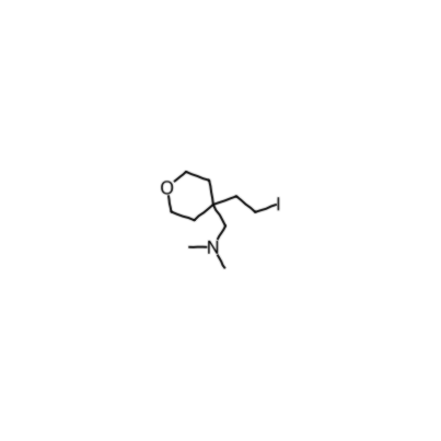 CN(C)CC1(CCI)CCOCC1